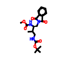 COC(=O)N[C@@H](CN1C(=O)c2ccccc2C1=O)C(C)CNC(=O)OC(C)(C)C